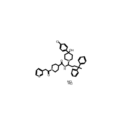 CC(CCC(NC(=O)C1CCN(C(=O)Cc2cccnc2)CC1)N1CCC(O)(c2ccc(Cl)cc2)CC1)(c1ccccc1)c1ccccc1.Cl.Cl